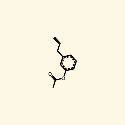 C=CCc1cccc(OC(C)=O)c1